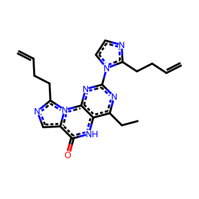 C=CCCc1nccn1-c1nc(CC)c2[nH]c(=O)c3cnc(CCC=C)n3c2n1